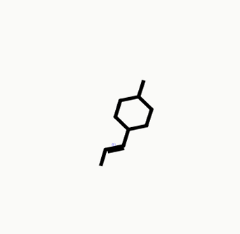 C/C=C/C1CCC(C)CC1